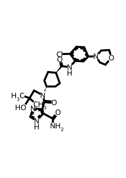 CC(C)(O)CN(C(=O)c1nc[nH]c1C(N)=O)[C@H]1CC[C@H](C(=O)Nc2cc(N3CCOCC3)ccc2Cl)CC1